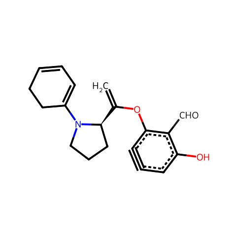 C=C(Oc1c#ccc(O)c1C=O)[C@H]1CCCN1C1=CC=CCC1